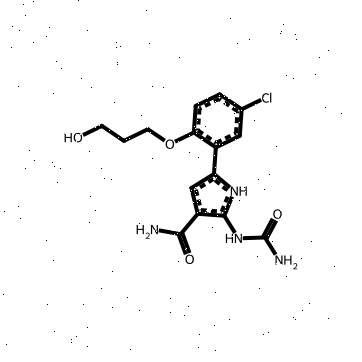 NC(=O)Nc1[nH]c(-c2cc(Cl)ccc2OCCCO)cc1C(N)=O